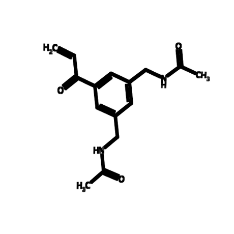 C=CC(=O)c1cc(CNC(C)=O)cc(CNC(C)=O)c1